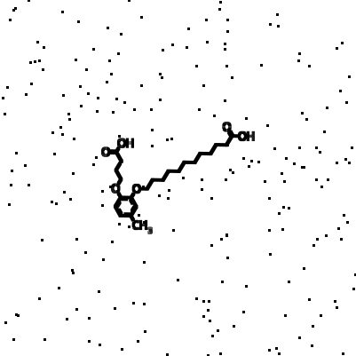 Cc1ccc(OCCCC(=O)O)c(OCCCCCCCCCCCC(=O)O)c1